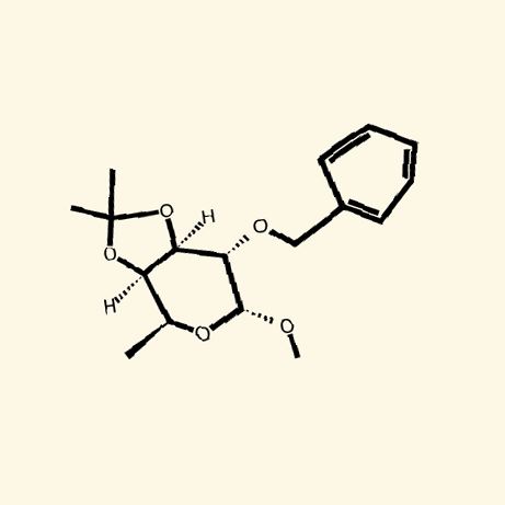 CO[C@@H]1O[C@@H](C)[C@H]2OC(C)(C)O[C@H]2[C@@H]1OCc1ccccc1